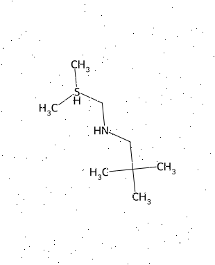 C[SH](C)CNCC(C)(C)C